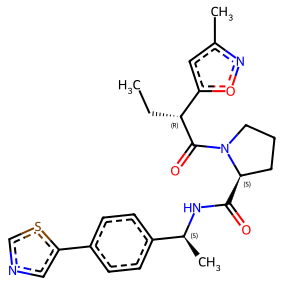 CC[C@@H](C(=O)N1CCC[C@H]1C(=O)N[C@@H](C)c1ccc(-c2cncs2)cc1)c1cc(C)no1